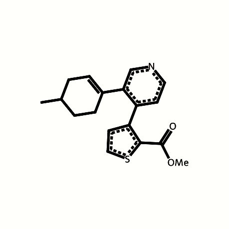 COC(=O)c1sccc1-c1ccncc1C1=CCC(C)CC1